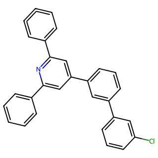 Clc1cccc(-c2cccc(-c3cc(C4=CC=C=C=C4)nc(-c4ccccc4)c3)c2)c1